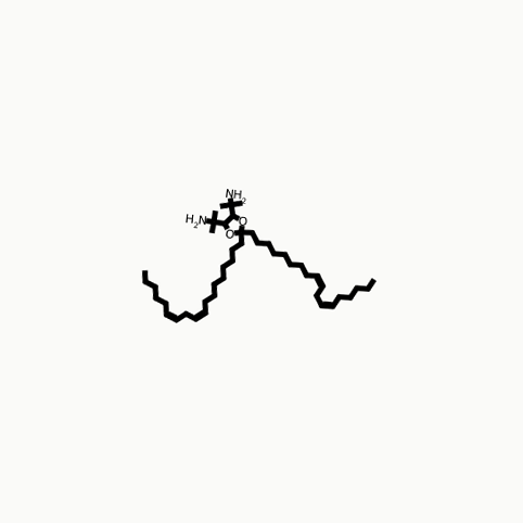 CCCCC/C=C\C/C=C\CCCCCCCCC1(CCCCCCCC/C=C\C/C=C\CCCCC)OC(C(C)(C)N)C(C(C)(C)N)O1